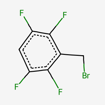 Fc1cc(F)c(F)c(CBr)c1F